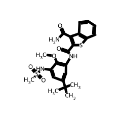 COc1c(NC(=O)c2sc3[c]cccc3c2C(N)=O)cc(C(C)(C)C)cc1NS(C)(=O)=O